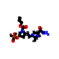 C=CCOC(=O)N1C[C@H](OS(C)(=O)=O)C[C@H]1CCn1cc(C(N)=O)nc1C